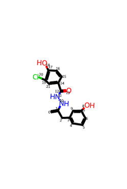 C=C(Cc1cccc(O)c1)NNC(=O)c1ccc(O)c(Cl)c1